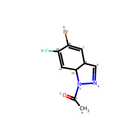 CC(=O)N1N=CC2C=C(Br)C(F)=CC21